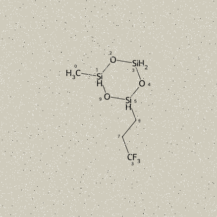 C[SiH]1O[SiH2]O[SiH](CCC(F)(F)F)O1